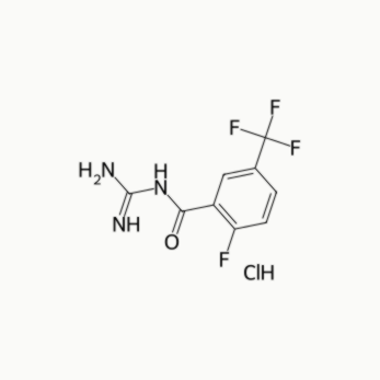 Cl.N=C(N)NC(=O)c1cc(C(F)(F)F)ccc1F